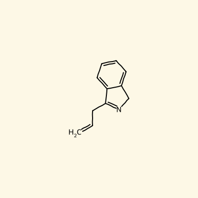 C=CCC1=NCc2ccccc21